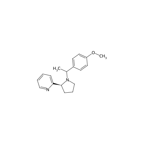 COc1ccc(C(C)N2CCC[C@H]2c2ccccn2)cc1